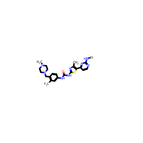 CCNc1nccc(-c2sc(NC(=O)Nc3ccc(CN4CCN(C)CC4)c(C(F)(F)F)c3)nc2C)n1